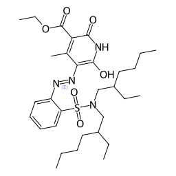 CCCCC(CC)CN(CC(CC)CCCC)S(=O)(=O)c1ccccc1/N=N/c1c(O)[nH]c(=O)c(C(=O)OCC)c1C